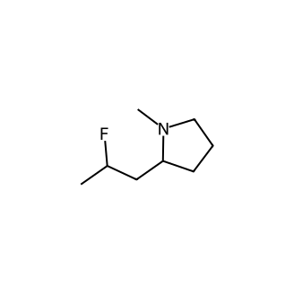 CC(F)CC1CCCN1C